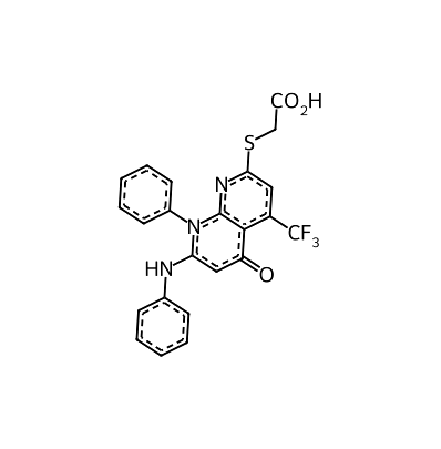 O=C(O)CSc1cc(C(F)(F)F)c2c(=O)cc(Nc3ccccc3)n(-c3ccccc3)c2n1